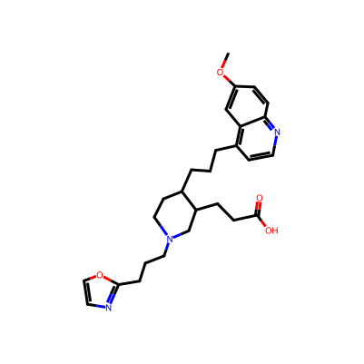 COc1ccc2nccc(CCCC3CCN(CCCc4ncco4)CC3CCC(=O)O)c2c1